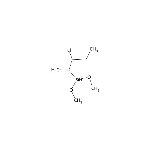 CCC(Cl)C(C)[SiH](OC)OC